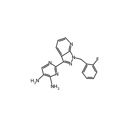 Nc1cnc(-c2nn(Cc3ccccc3F)c3ncccc23)nc1N